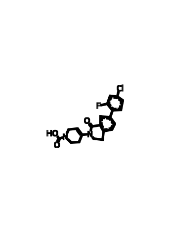 O=C(O)N1CC=C(N2CCc3ccc(-c4ccc(Cl)cc4F)cc3C2=O)CC1